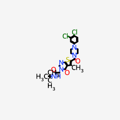 Cc1c(C(=O)N2CCN(c3ccc(Cl)c(Cl)c3)CC2)sc2ncn(CC(=O)NC(C)(C)C)c(=O)c12